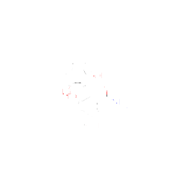 NC(=O)c1cc(O)cc(O)c1.Oc1cccc(O)c1